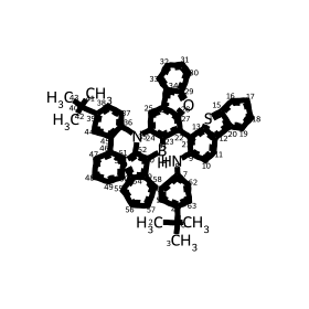 CC(C)(C)c1ccc(Nc2ccc3c(sc4ccccc43)c2-c2c3c(cc4c2oc2ccccc24)N(c2ccc(C(C)(C)C)cc2-c2ccccc2)c2sc4ccccc4c2B3)cc1